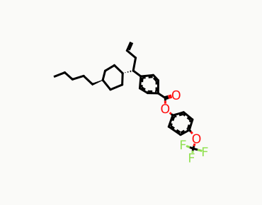 C=CCC(c1ccc(C(=O)Oc2ccc(OC(F)(F)F)cc2)cc1)[C@H]1CC[C@H](CCCCC)CC1